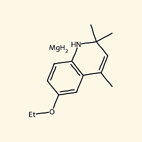 CCOc1ccc2c(c1)C(C)=CC(C)(C)N2.[MgH2]